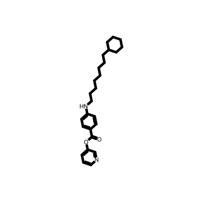 O=C(Oc1cccnc1)c1ccc(NCCCCCCCCC2CCCCC2)cc1